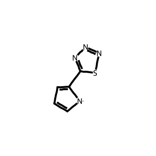 C1=C[N]C(c2nnns2)=C1